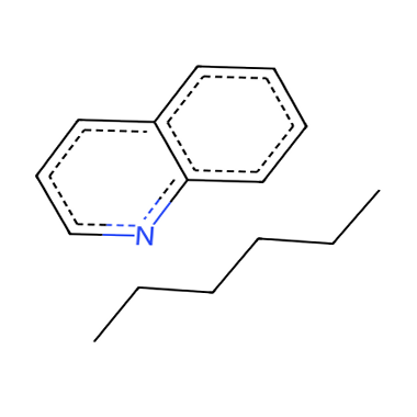 CCCCCC.c1ccc2ncccc2c1